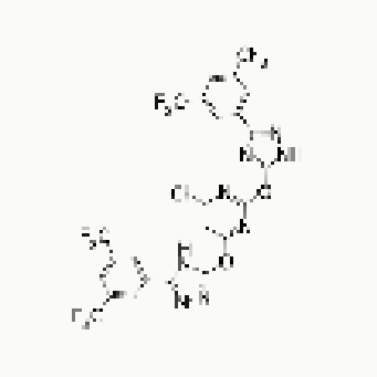 FC(F)(F)c1cc(-c2n[nH]c(Oc3nc(Cl)cc(Oc4nnc(-c5cc(C(F)(F)F)cc(C(F)(F)F)c5)[nH]4)n3)n2)cc(C(F)(F)F)c1